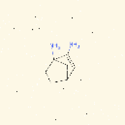 NC1=CC2CCC1(N)C2